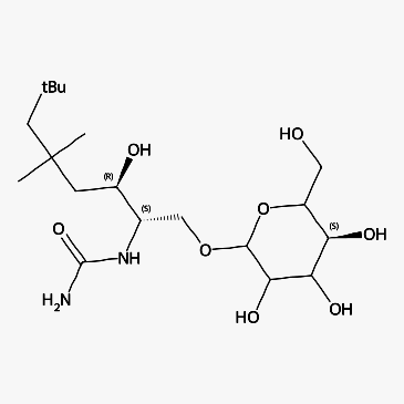 CC(C)(C)CC(C)(C)C[C@@H](O)[C@H](COC1OC(CO)[C@@H](O)C(O)C1O)NC(N)=O